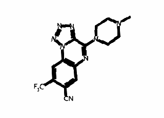 CN1CCN(c2nc3cc(C#N)c(C(F)(F)F)cc3n3nnnc23)CC1